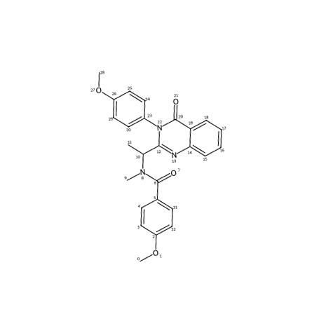 COc1ccc(C(=O)N(C)C(C)c2nc3ccccc3c(=O)n2-c2ccc(OC)cc2)cc1